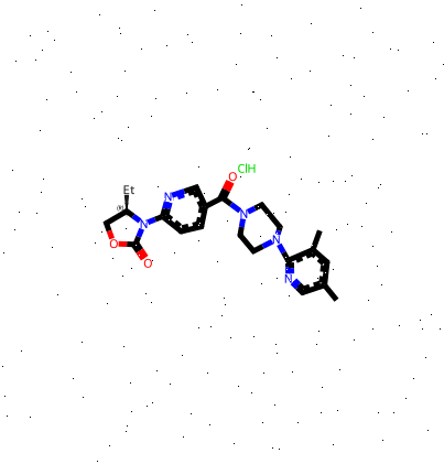 CC[C@@H]1COC(=O)N1c1ccc(C(=O)N2CCN(c3ncc(C)cc3C)CC2)cn1.Cl